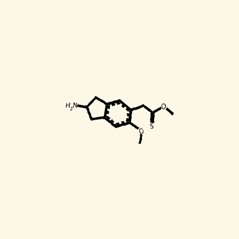 COC(=S)Cc1cc2c(cc1OC)CC(N)C2